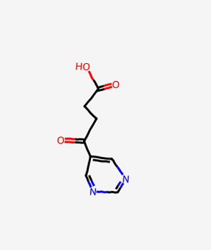 O=C(O)CCC(=O)c1cncnc1